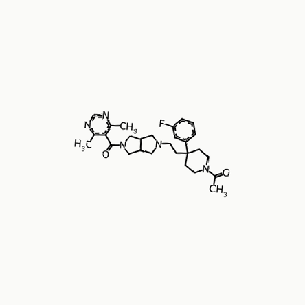 CC(=O)N1CCC(CCN2CC3CN(C(=O)c4c(C)ncnc4C)CC3C2)(c2cccc(F)c2)CC1